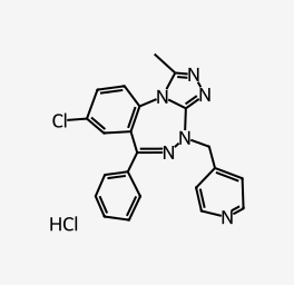 Cc1nnc2n1-c1ccc(Cl)cc1C(c1ccccc1)=NN2Cc1ccncc1.Cl